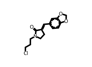 O=C1/C(=C/c2ccc3c(c2)OCO3)CCN1CCCCl